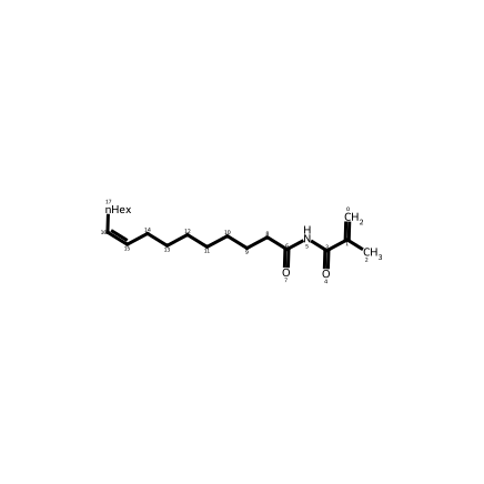 C=C(C)C(=O)NC(=O)CCCCCCC/C=C\CCCCCC